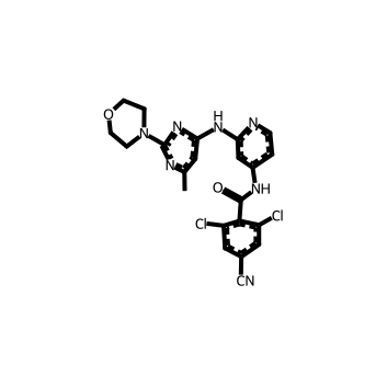 Cc1cc(Nc2cc(NC(=O)c3c(Cl)cc(C#N)cc3Cl)ccn2)nc(N2CCOCC2)n1